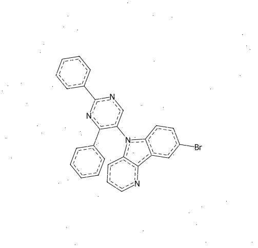 Brc1ccc2c(c1)c1ncccc1n2-c1cnc(-c2ccccc2)nc1-c1ccccc1